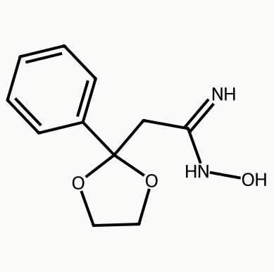 N=C(CC1(c2ccccc2)OCCO1)NO